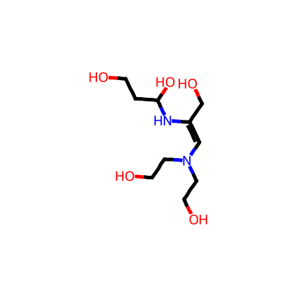 OCCC(O)N/C(=C\N(CCO)CCO)CO